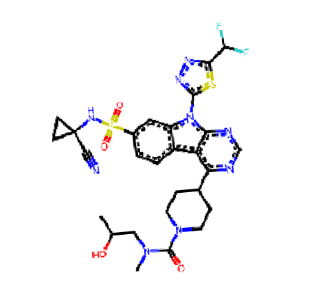 CC(O)CN(C)C(=O)N1CCC(c2ncnc3c2c2ccc(S(=O)(=O)NC4(C#N)CC4)cc2n3-c2nnc(C(F)F)s2)CC1